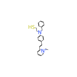 CC[n+]1ccccc1/C=C/c1ccc(N(CCS)Cc2ccccc2)cc1